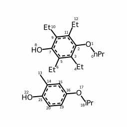 CCCOc1c(CC)c(CC)c(O)c(CC)c1CC.Cc1cc(OC(C)C)ccc1O